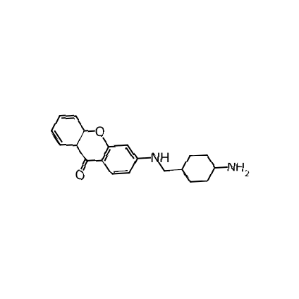 NC1CCC(CNc2ccc3c(c2)OC2C=CC=CC2C3=O)CC1